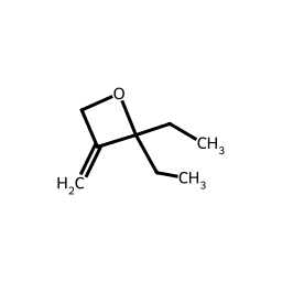 C=C1COC1(CC)CC